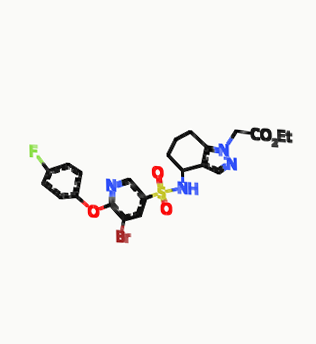 CCOC(=O)Cn1ncc2c1CCCC2NS(=O)(=O)c1cnc(Oc2ccc(F)cc2)c(Br)c1